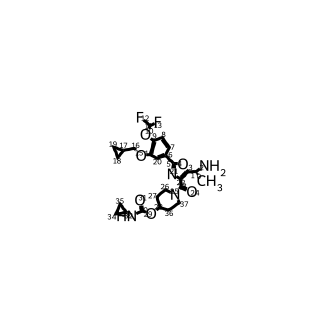 C[C@H](N)c1oc(-c2ccc(OC(F)F)c(OCC3CC3)c2)nc1C(=O)N1CCC(OC(=O)NC2CC2)CC1